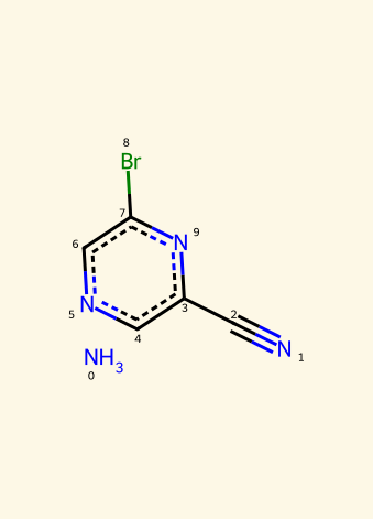 N.N#Cc1cncc(Br)n1